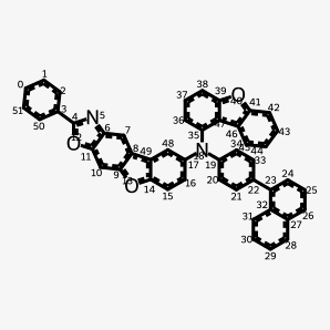 c1ccc(-c2nc3cc4c(cc3o2)oc2ccc(N(c3ccc(-c5cccc6ccccc56)cc3)c3cccc5oc6ccccc6c35)cc24)cc1